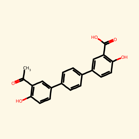 CC(=O)c1cc(-c2ccc(-c3ccc(O)c(C(=O)O)c3)cc2)ccc1O